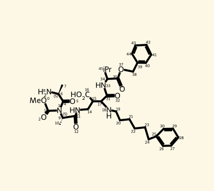 COC(=O)N(C(=O)[C@H](C)N)[C@@H](C)C(=O)NCC(C(=O)O)C(NCCCCCCc1ccccc1)C(=O)NC(C(=O)OCc1ccccc1)C(C)C